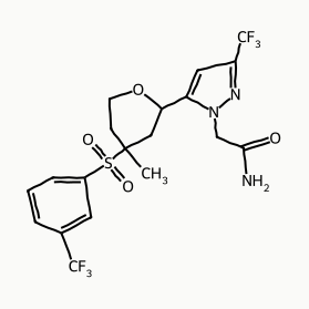 CC1(S(=O)(=O)c2cccc(C(F)(F)F)c2)CCOC(c2cc(C(F)(F)F)nn2CC(N)=O)C1